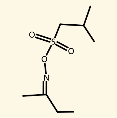 CCC(C)=NOS(=O)(=O)CC(C)C